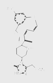 C=C(/C=C\C=C/C)[C@]1(CO[C@H](C)c2cc(C(F)(F)F)cc(C(F)(F)F)c2)CC[C@H](n2c(COC)n[nH]c2=O)CN1